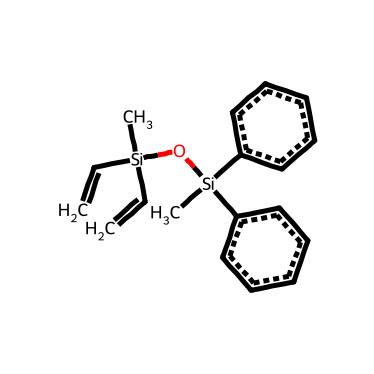 C=C[Si](C)(C=C)O[Si](C)(c1ccccc1)c1ccccc1